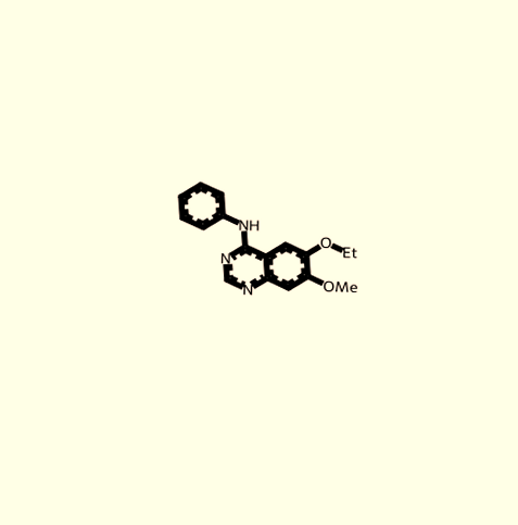 CCOc1cc2c(Nc3ccccc3)ncnc2cc1OC